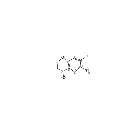 O=C1CCOc2cc(F)c(Cl)cc21